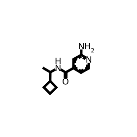 CC(NC(=O)c1ccnc(N)c1)C1CCC1